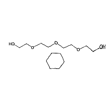 C1CCCCC1.OCCOCCOCCOCCO